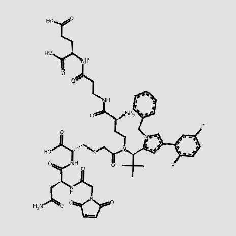 CC(C)(C)[C@H](c1cc(-c2cc(F)ccc2F)cn1Cc1ccccc1)N(CC[C@H](N)C(=O)NCCC(=O)N[C@H](CCC(=O)O)C(=O)O)C(=O)CSC[C@H](NC(=O)[C@H](CC(N)=O)NC(=O)CN1C(=O)C=CC1=O)C(=O)O